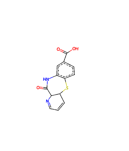 O=C(O)c1ccc2c(c1)NC(=O)C1N=CC=CC1S2